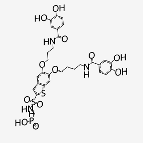 O=C(NCCCCOc1cc2sc(S(=O)(=O)NC[PH](=O)O)cc2cc1OCCCNC(=O)c1ccc(O)c(O)c1)c1ccc(O)c(O)c1